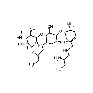 CN[C@@H]1[C@@H](O)[C@@H](O[C@H]2[C@H](NCC(O)CN)C[C@H](N)C(O[C@H]3OC(CNCC(N)CO)=CC[C@H]3N)[C@@H]2O)OC[C@]1(C)O